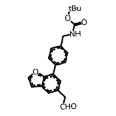 CC(C)(C)OC(=O)NCc1ccc(-c2cc(CC=O)cc3ccoc23)cc1